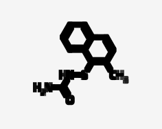 Cc1ccc2ccccc2c1SNC(N)=O